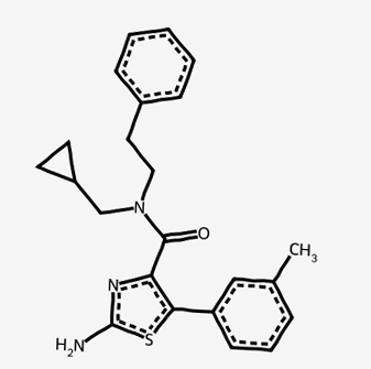 Cc1cccc(-c2sc(N)nc2C(=O)N(CCc2ccccc2)CC2CC2)c1